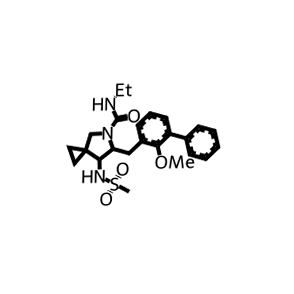 CCNC(=O)N1CC2(CC2)C(NS(C)(=O)=O)C1Cc1cccc(-c2ccccc2)c1OC